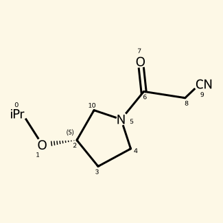 CC(C)O[C@H]1CCN(C(=O)CC#N)C1